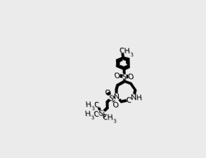 Cc1ccc(S(=O)(=O)C2CCNCCN(S(=O)(=O)CC[Si](C)(C)C)CC2)cc1